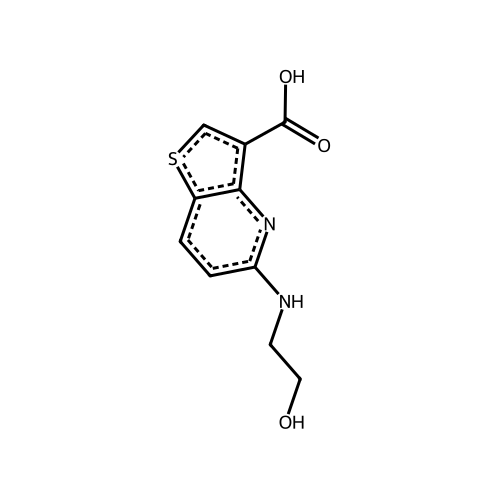 O=C(O)c1csc2ccc(NCCO)nc12